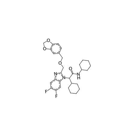 O=C(NC1CCCCC1)C(C1CCCCC1)n1c(COCc2ccc3c(c2)OCO3)nc2cc(F)c(F)cc21